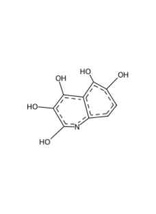 Oc1ccc2nc(O)c(O)c(O)c2c1O